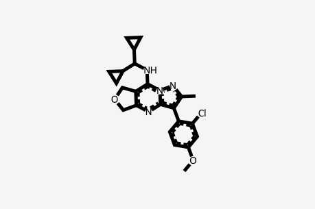 COc1ccc(-c2c(C)nn3c(NC(C4CC4)C4CC4)c4c(nc23)COC4)c(Cl)c1